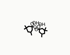 CC1CC(C)(C)CC(OO)(OOC2(OO)CC(C)CC(C)(C)C2)C1